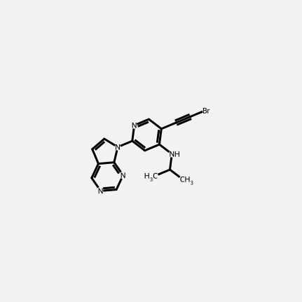 CC(C)Nc1cc(-n2ccc3cncnc32)ncc1C#CBr